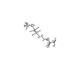 C#[SH](C)OC(C)(C)S(C)(C)CCCOC(=O)C(=C)C